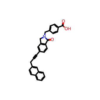 O=C(O)c1ccc(CN2Cc3cc(C#CCc4ccc5ccccc5c4)ccc3C2=O)cc1